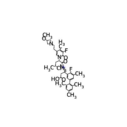 COC1CN(CCc2cn(C(CC(C)C)C(=O)/N=C/C(CC(=O)O)c3cc(-c4c(C)cc(C)cc4C)cc(C)c3F)c(=O)c(F)c2C)C1